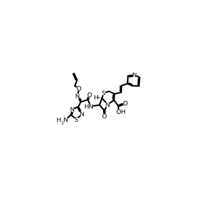 C=CCO/N=C(\C(=O)NC1C(=O)N2C(C(=O)O)=C(/C=C/c3cccnc3)CS[C@H]12)c1nsc(N)n1